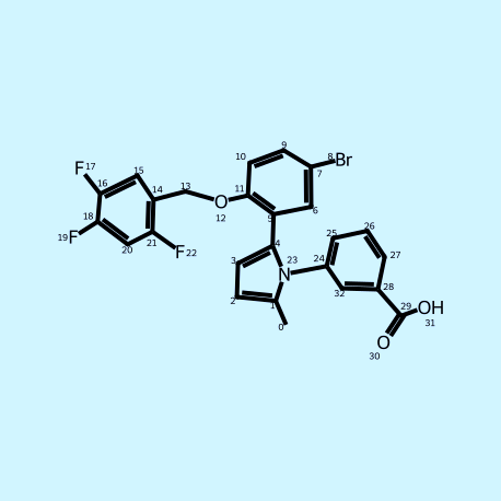 Cc1ccc(-c2cc(Br)ccc2OCc2cc(F)c(F)cc2F)n1-c1cccc(C(=O)O)c1